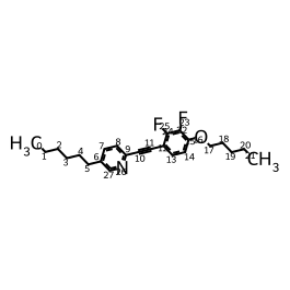 CCCCCCc1ccc(C#Cc2ccc(OCCCCC)c(F)c2F)nc1